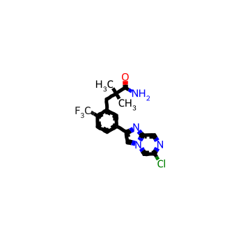 CC(C)(Cc1cc(-c2cn3cc(Cl)ncc3n2)ccc1C(F)(F)F)C(N)=O